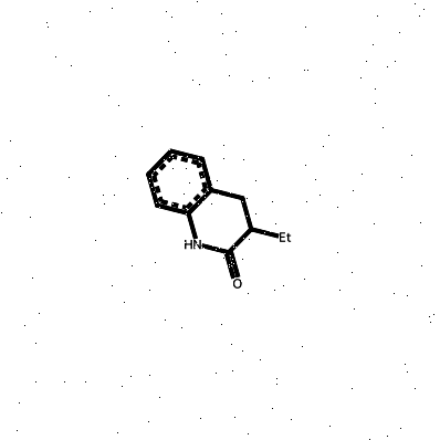 [CH2]CC1Cc2ccccc2NC1=O